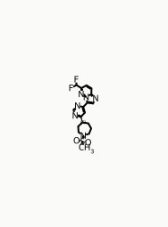 CS(=O)(=O)N1CCC[C@H](c2cc(-c3cnc4ccc(C(F)F)nn34)ncn2)CC1